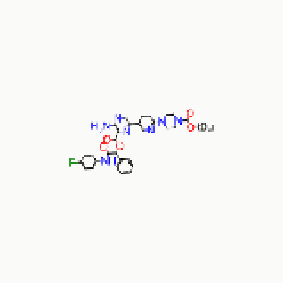 CC(C)(C)OC(=O)N1CCN(c2ccc(-c3cnc(N)c(C(=O)O[C@@H](C(=O)Nc4ccc(F)cc4)c4ccccc4)n3)cn2)CC1